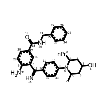 CCCC1CC(O)CC(C)N1c1ccc(C(=N)c2cc(C(=O)NCc3ccccc3)ccc2N)cc1